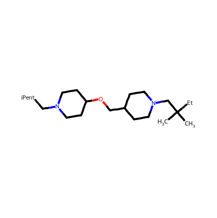 CCCC(C)CN1CCC(OCC2CCN(CC(C)(C)CC)CC2)CC1